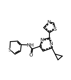 O=C(NC1=CCSC=C1)c1cc(C2CC2)nc(-c2cncs2)n1